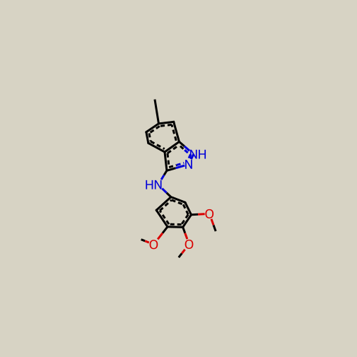 COc1cc(Nc2n[nH]c3cc(C)ccc23)cc(OC)c1OC